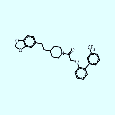 O=C(COc1ccccc1-c1cccc(C(F)(F)F)c1)N1CCC(CCc2ccc3c(c2)OCO3)CC1